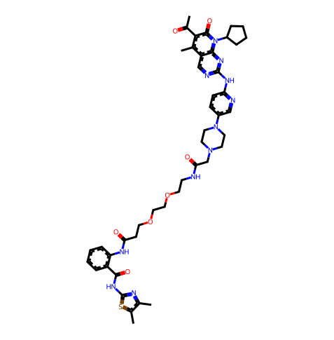 CC(=O)c1c(C)c2cnc(Nc3ccc(N4CCN(CC(=O)NCCOCCOCCC(=O)Nc5ccccc5C(=O)Nc5nc(C)c(C)s5)CC4)cn3)nc2n(C2CCCC2)c1=O